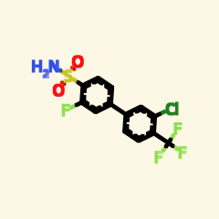 NS(=O)(=O)c1ccc(-c2ccc(C(F)(F)F)c(Cl)c2)cc1F